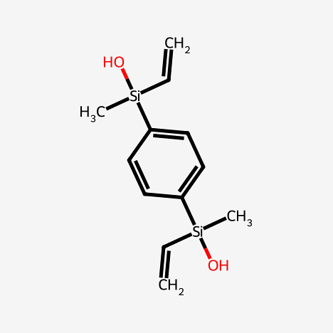 C=C[Si](C)(O)c1ccc([Si](C)(O)C=C)cc1